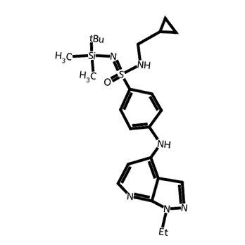 CCn1ncc2c(Nc3ccc(S(=O)(=N[Si](C)(C)C(C)(C)C)NCC4CC4)cc3)ccnc21